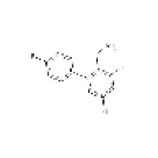 NCc1c(Cl)cc(Cl)cc1-c1ccc(F)cc1